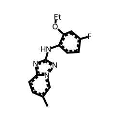 CCOc1cc(F)ccc1Nc1nc2ccc(C)cn2n1